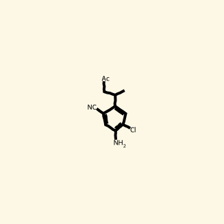 CC(=O)CC(C)c1cc(Cl)c(N)cc1C#N